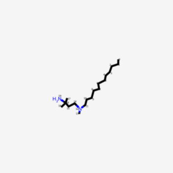 CCCCCCCCCCCCN(C)CCC(C)(C)N